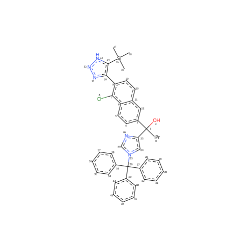 CC(C)C(O)(c1ccc2c(Cl)c(-c3nn[nH]c3[Si](C)(C)C)ccc2c1)c1cn(C(c2ccccc2)(c2ccccc2)c2ccccc2)cn1